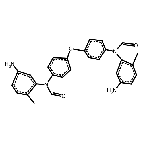 Cc1ccc(N)cc1N(C=O)c1ccc(Oc2ccc(N(C=O)c3cc(N)ccc3C)cc2)cc1